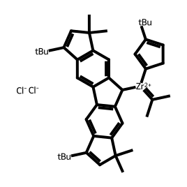 C[C](C)=[Zr+2]([C]1=CC(C(C)(C)C)=CC1)[CH]1c2cc3c(cc2-c2cc4c(cc21)C(C)(C)C=C4C(C)(C)C)C(C(C)(C)C)=CC3(C)C.[Cl-].[Cl-]